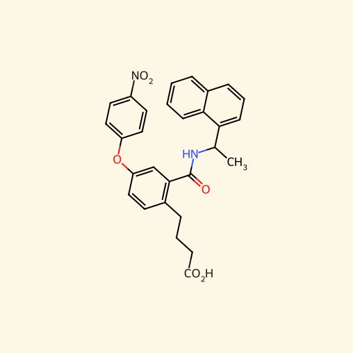 CC(NC(=O)c1cc(Oc2ccc([N+](=O)[O-])cc2)ccc1CCCC(=O)O)c1cccc2ccccc12